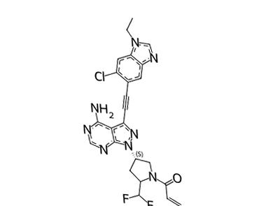 C=CC(=O)N1C[C@@H](n2nc(C#Cc3cc4ncn(CC)c4cc3Cl)c3c(N)ncnc32)CC1C(F)F